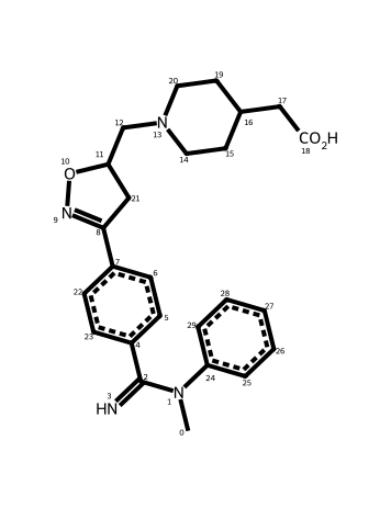 CN(C(=N)c1ccc(C2=NOC(CN3CCC(CC(=O)O)CC3)C2)cc1)c1ccccc1